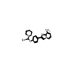 CCC(Oc1ccc(-c2cn3cccc(C)c3n2)cc1)N1CCCCC1